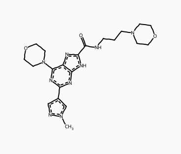 Cn1cc(-c2nc(N3CCOCC3)c3nc(C(=O)NCCCN4CCOCC4)[nH]c3n2)cn1